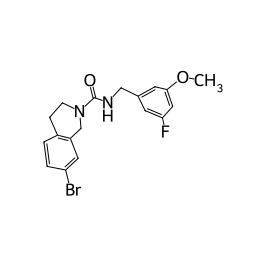 COc1cc(F)cc(CNC(=O)N2CCc3ccc(Br)cc3C2)c1